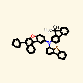 CC1(C)c2ccccc2-c2ccc(N(C3=CC4c5c(cc(-c6ccccc6)c6ccccc56)OC4C=C3)C3C=CC=C4c5ccccc5SC43)cc21